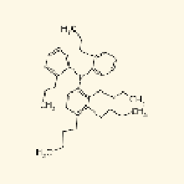 CCCCc1ccc(P(c2ccccc2CCC)c2ccccc2CCC)c(CCCC)c1CCCC